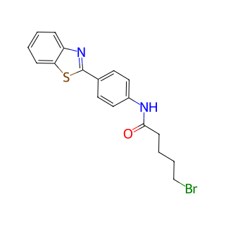 O=C(CCCCBr)Nc1ccc(-c2nc3ccccc3s2)cc1